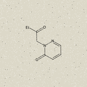 CCC(=O)Cn1ncccc1=O